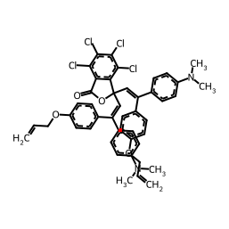 C=CCOc1ccc(/C(=C\C2(/C=C(\c3ccc(OCC=C)cc3)c3ccc(N(C)C)cc3)OC(=O)c3c(Cl)c(Cl)c(Cl)c(Cl)c32)c2ccc(N(C)C)cc2)cc1